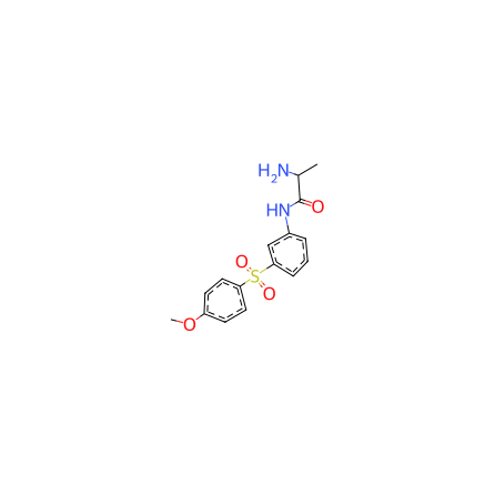 COc1ccc(S(=O)(=O)c2cccc(NC(=O)C(C)N)c2)cc1